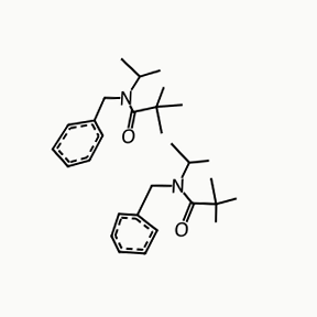 CC(C)N(Cc1ccccc1)C(=O)C(C)(C)C.CC(C)N(Cc1ccccc1)C(=O)C(C)(C)C